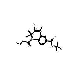 CCCC(=O)N1c2ccc(C(=O)OC(C)(C)C)cc2C(C)=C(N)C1(C)C